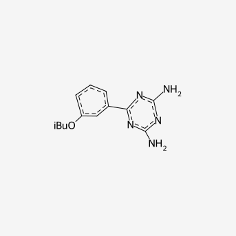 CC(C)COc1cccc(-c2nc(N)nc(N)n2)c1